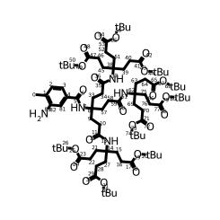 Cc1ccc(C(=O)NC(CCC(=O)NC(CCC(=O)OC(C)(C)C)(CCC(=O)OC(C)(C)C)CCC(=O)OC(C)(C)C)(CCC(=O)NC(CCC(=O)OC(C)(C)C)(CCC(=O)OC(C)(C)C)CCC(=O)OC(C)(C)C)CCC(=O)NC(CCC(=O)OC(C)(C)C)(CCC(=O)OC(C)(C)C)CCC(=O)OC(C)(C)C)cc1N